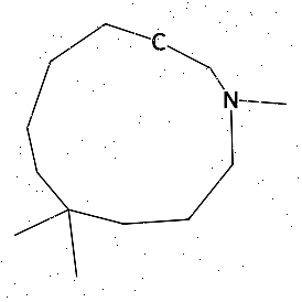 CN1CCCCCCC(C)(C)CCC1